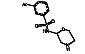 CC(=O)c1cccc(S(=O)(=O)NC2CNCCO2)c1